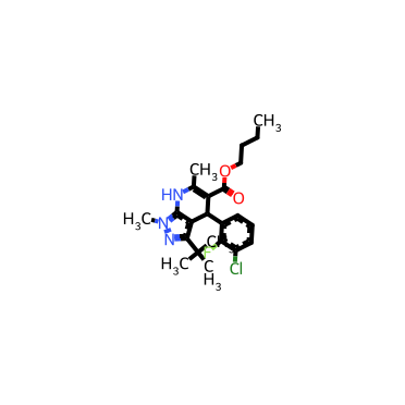 CCCCOC(=O)C1=C(C)Nc2c(c(C(C)(C)C)nn2C)C1c1cccc(Cl)c1F